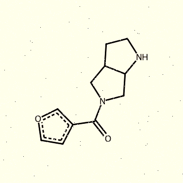 O=C(c1ccoc1)N1CC2CCNC2C1